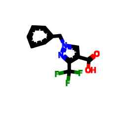 O=C(O)c1cn(Cc2ccccc2)nc1C(F)(F)F